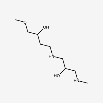 CNCC(O)CNCCC(O)COC